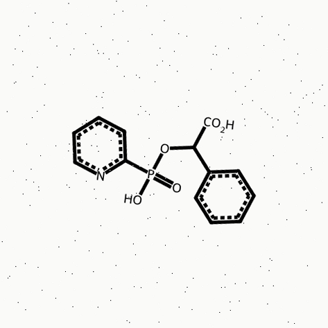 O=C(O)C(OP(=O)(O)c1ccccn1)c1ccccc1